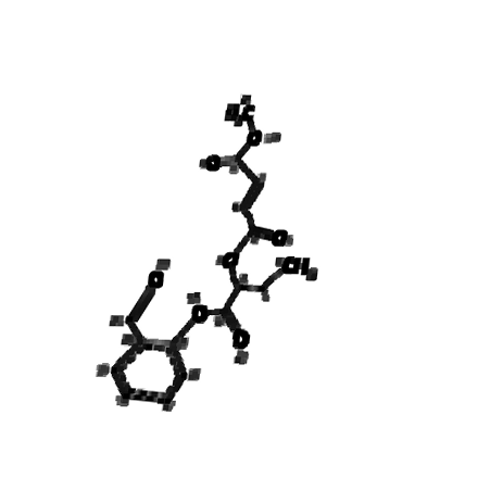 CCC(OC(=O)C=CC(=O)OC)C(=O)Oc1ccccc1C=O